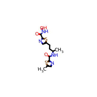 Cc1cnc(C(=O)NC(C)CCc2cnc(C(=O)NO)s2)s1